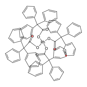 O=C([O][Rh]([O]C(=O)C(c1ccccc1)(c1ccccc1)c1ccccc1)([O]C(=O)C(c1ccccc1)(c1ccccc1)c1ccccc1)[O]C(=O)C(c1ccccc1)(c1ccccc1)c1ccccc1)C(c1ccccc1)(c1ccccc1)c1ccccc1